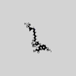 COC(=O)[C@H]1C[C@H]1/C=C\CCCCCCC(=O)N1C[C@H](Oc2cc(C(=O)CBr)nc3cc(OC)ccc23)C[C@H]1C(N)=O